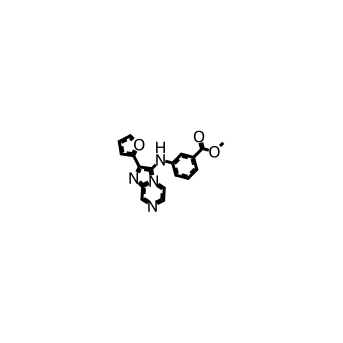 COC(=O)c1cccc(Nc2c(-c3ccco3)nc3cnccn23)c1